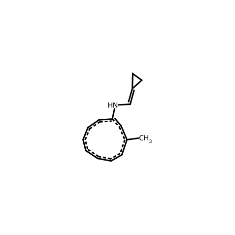 Cc1cccccccc(NC=C2CC2)c1